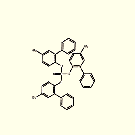 CC(C)(C)c1ccc(OP(=O)(Oc2ccc(C(C)(C)C)cc2-c2ccccc2)Oc2ccc(C(C)(C)C)cc2-c2ccccc2)c(-c2ccccc2)c1